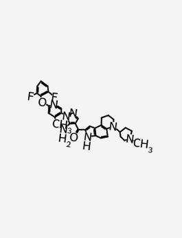 Cc1cc(Oc2c(F)cccc2F)ncc1-n1ncc(C(=O)c2cc3c4c(ccc3[nH]2)N(C2CCN(C)CC2)CCC4)c1N